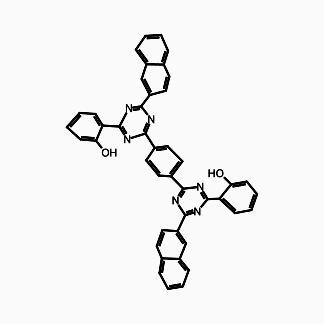 Oc1ccccc1-c1nc(-c2ccc(-c3nc(-c4ccc5ccccc5c4)nc(-c4ccccc4O)n3)cc2)nc(-c2ccc3ccccc3c2)n1